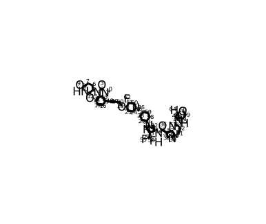 Cn1c(=O)n(C2CCC(=O)NC2=O)c2cccc(C#CCO[C@H]3CCN(C[C@H]4CC[C@H](n5cc(NC(=O)c6cnn7ccc(N8C[C@H]9C[C@@H]8CO9)nc67)c(C(F)F)n5)CC4)C[C@H]3F)c21